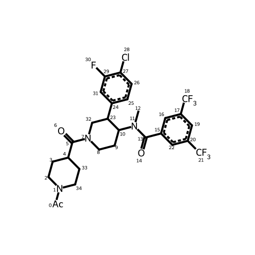 CC(=O)N1CCC(C(=O)N2CCC(N(C)C(=O)c3cc(C(F)(F)F)cc(C(F)(F)F)c3)C(c3ccc(Cl)c(F)c3)C2)CC1